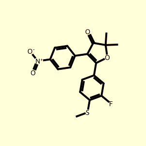 CSc1ccc(C2=C(c3ccc([N+](=O)[O-])cc3)C(=O)C(C)(C)O2)cc1F